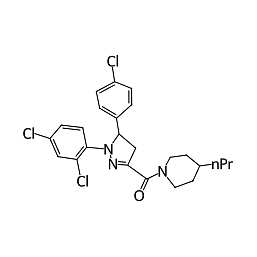 CCCC1CCN(C(=O)C2=NN(c3ccc(Cl)cc3Cl)C(c3ccc(Cl)cc3)C2)CC1